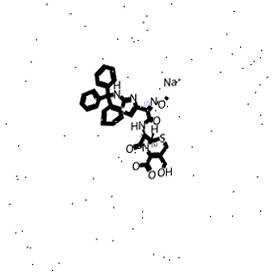 CO/N=C(\C(=O)N[C@@H]1C(=O)N2C(C(=O)[O-])=C(CO)CS[C@@H]12)c1csc(NC(c2ccccc2)(c2ccccc2)c2ccccc2)n1.[Na+]